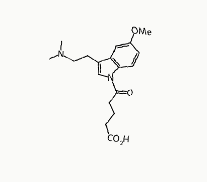 COc1ccc2c(c1)c(CCN(C)C)cn2C(=O)CCCC(=O)O